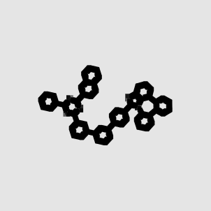 c1ccc(-c2nc(-c3cccc(-c4cccc(-c5ccc(-c6nc7cccc8c7n6-c6ccccc6-c6ccccc6-8)cc5)c4)c3)nc(-c3ccc4ccccc4c3)n2)cc1